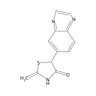 C=C1NC(=O)C(c2ccc3nccnc3c2)S1